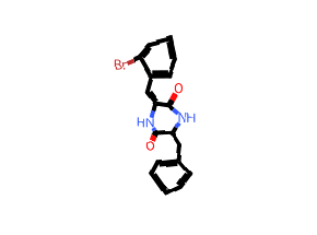 O=C1NC(Cc2ccccc2)C(=O)NC1=Cc1ccccc1Br